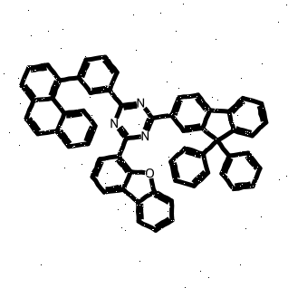 c1ccc(C2(c3ccccc3)c3ccccc3-c3ccc(-c4nc(-c5cccc(-c6cccc7ccc8ccccc8c67)c5)nc(-c5cccc6c5oc5ccccc56)n4)cc32)cc1